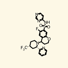 O=S(=O)(Nc1ccncn1)c1cc2c(cc1F)C(N1CC[C@@H](C(F)(F)F)C[C@H]1c1ccccn1)CCO2